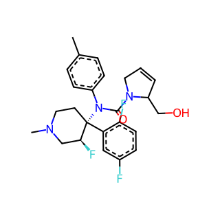 Cc1ccc(N(C(=O)N2CC=CC2CO)[C@@]2(c3cc(F)ccc3F)CCN(C)C[C@@H]2F)cc1